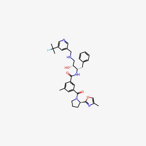 Cc1cc(C(=O)N[C@@H](Cc2ccccc2)[C@H](O)CNCc2cncc(C(C)(C)F)c2)cc(C(=O)N2CCC[C@@H]2c2nc(C)co2)c1